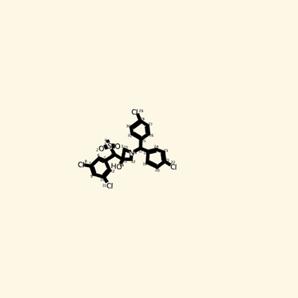 CS(=O)(=O)C(c1cc(Cl)cc(Cl)c1)C1(O)CN(C(c2ccc(Cl)cc2)c2ccc(Cl)cc2)C1